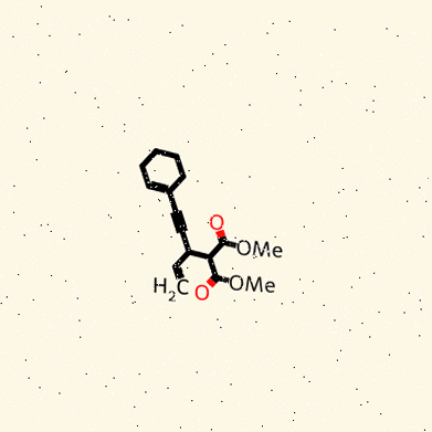 C=CC(C#CC1=CCCCC1)C(C(=O)OC)C(=O)OC